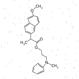 COc1ccc2cc(C(C)C(=O)OCCCN(C)c3ccccc3)ccc2c1